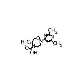 Cc1cc(N2CCN(C(=O)O)[C@H](C)CO2)nc(C)n1